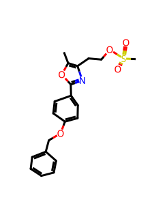 Cc1oc(-c2ccc(OCc3ccccc3)cc2)nc1CCOS(C)(=O)=O